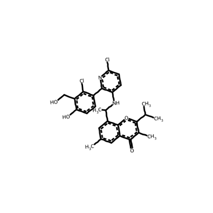 Cc1cc(C(C)Nc2ccc(Cl)nc2-c2ccc(O)c(CO)c2Cl)c2oc(C(C)C)c(C)c(=O)c2c1